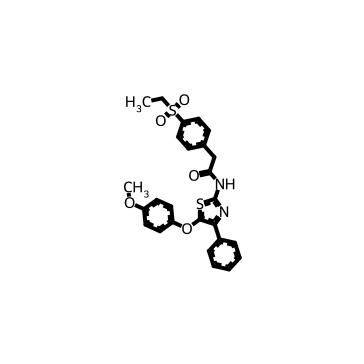 CCS(=O)(=O)c1ccc(CC(=O)Nc2nc(-c3ccccc3)c(Oc3ccc(OC)cc3)s2)cc1